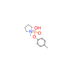 Cc1ccc(OP(=O)(O)[N+]2(C)CCCC2)cc1